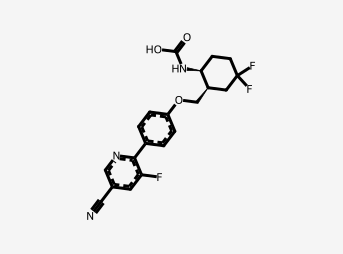 N#Cc1cnc(-c2ccc(OC[C@@H]3CC(F)(F)CC[C@@H]3NC(=O)O)cc2)c(F)c1